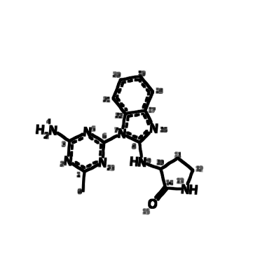 Cc1nc(N)nc(-n2c(NC3CCNC3=O)nc3ccccc32)n1